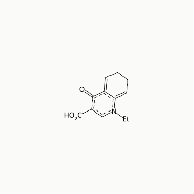 CCn1cc(C(=O)O)c(=O)c2c1=CCCC=2